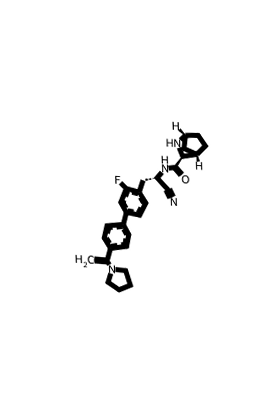 C=C(c1ccc(-c2ccc(C[C@@H](C#N)NC(=O)[C@H]3N[C@@H]4CC[C@H]3C4)c(F)c2)cc1)N1CCCC1